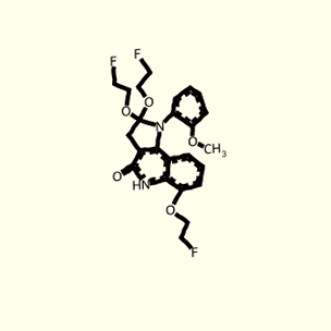 COc1ccccc1N1c2c(c(=O)[nH]c3c(OCCF)cccc23)CC1(OCCF)OCCF